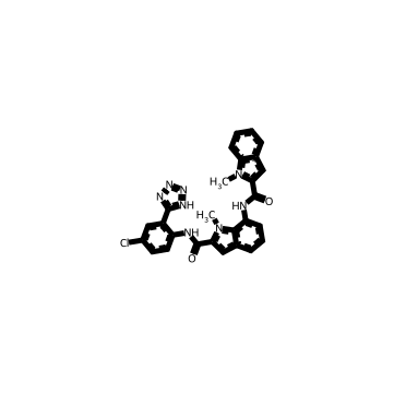 Cn1c(C(=O)Nc2cccc3cc(C(=O)Nc4ccc(Cl)cc4-c4nnn[nH]4)n(C)c23)cc2ccccc21